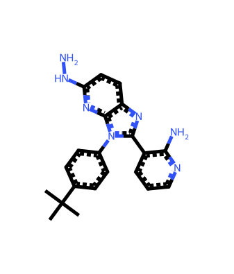 CC(C)(C)c1ccc(-n2c(-c3cccnc3N)nc3ccc(NN)nc32)cc1